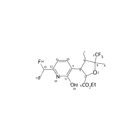 CCOC(=O)C1OC(C)(C(F)(F)F)C(C)C1c1ccc(C(F)F)nc1O